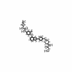 CC(=O)N1CC(NC(=O)Nc2ccc(Oc3ccnc4cc(-c5ccc(CN6CCC(NC(=O)CO)CC6)cn5)sc34)c(F)c2)C1